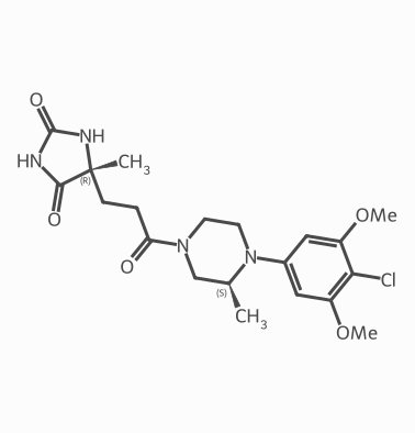 COc1cc(N2CCN(C(=O)CC[C@@]3(C)NC(=O)NC3=O)C[C@@H]2C)cc(OC)c1Cl